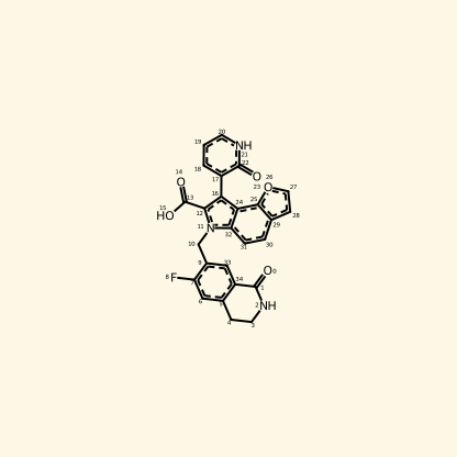 O=C1NCCc2cc(F)c(Cn3c(C(=O)O)c(-c4ccc[nH]c4=O)c4c5occc5ccc43)cc21